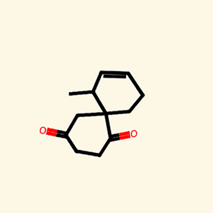 CC1C=CCCC12CC(=O)CCC2=O